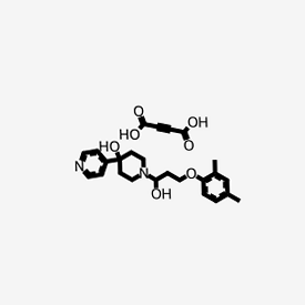 Cc1ccc(OCCC(O)N2CCC(O)(c3ccncc3)CC2)c(C)c1.O=C(O)C#CC(=O)O